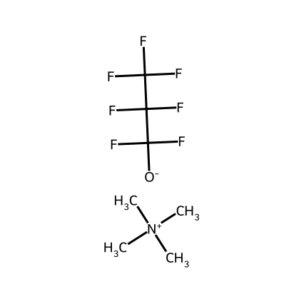 C[N+](C)(C)C.[O-]C(F)(F)C(F)(F)C(F)(F)F